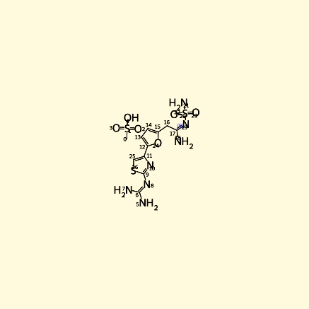 CS(=O)(=O)O.NC(N)=Nc1nc(-c2ccc(C/C(N)=N\S(N)(=O)=O)o2)cs1